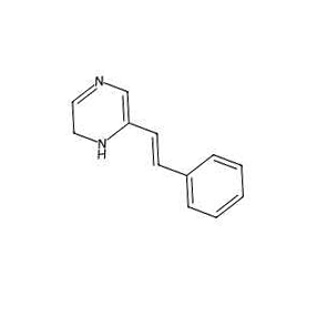 C1=NC=C(/C=C/c2ccccc2)NC1